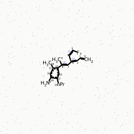 C=C/C=C(\C=C/F)/C=C(\C)c1cc(CCC)c(N)cc1C